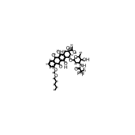 CCCCCOCOc1cccc2c1C(=O)c1c(O)c3c(c(O)c1C2=O)C[C@@](O)(C(C)=O)C[C@@H]3OC1CC(NC(=O)C(F)(F)F)C(O)C(C)O1